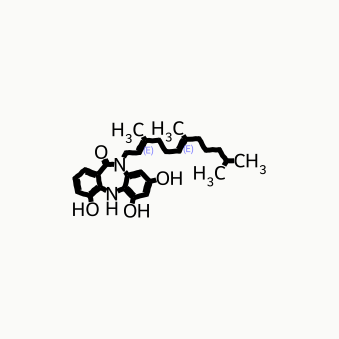 C/C(=C\CN1C(=O)c2cccc(O)c2Nc2c(O)cc(O)cc21)CC/C=C(\C)CCCC(C)C